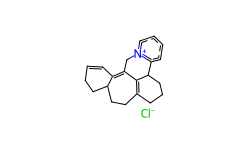 C1=CC2=C3C[n+]4ccccc4C4CCCC(=C34)CCC2CC1.[Cl-]